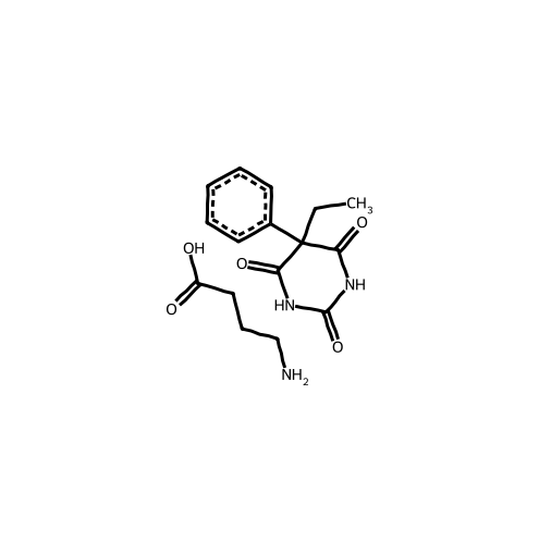 CCC1(c2ccccc2)C(=O)NC(=O)NC1=O.NCCCC(=O)O